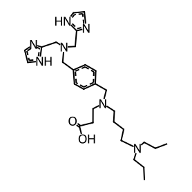 CCCN(CCC)CCCCN(CCC(=O)O)Cc1ccc(CN(Cc2ncc[nH]2)Cc2ncc[nH]2)cc1